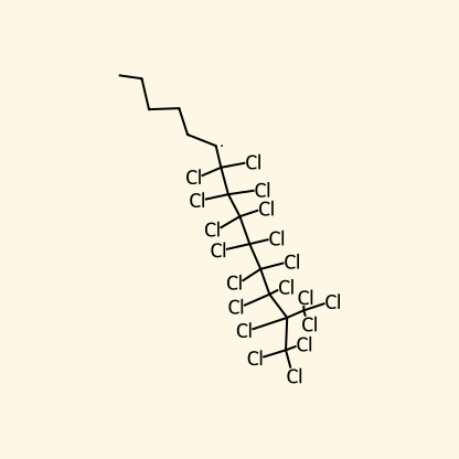 CCCCC[CH]C(Cl)(Cl)C(Cl)(Cl)C(Cl)(Cl)C(Cl)(Cl)C(Cl)(Cl)C(Cl)(Cl)C(Cl)(C(Cl)(Cl)Cl)C(Cl)(Cl)Cl